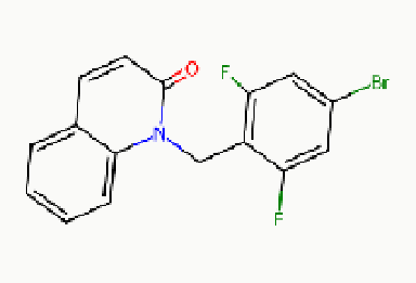 O=c1ccc2ccccc2n1Cc1c(F)cc(Br)cc1F